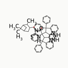 CC1C(CN2C(=O)C(C(c3c[nH]cn3)C(c3ccccc3)(c3ccccc3)c3ccccc3)(C(c3c[nH]cn3)C(c3ccccc3)(c3ccccc3)c3ccccc3)NC2=S)CC2CC1C2(C)C